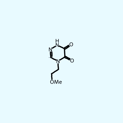 COCCn1[c]n[nH]c(=O)c1=O